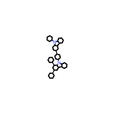 c1ccc(-c2cc(-c3ccccc3)c3c(c2)c2ccccc2n3-c2ccc(-c3ccc4c(c3)c3ccccc3n4-c3ccccc3)cc2)cc1